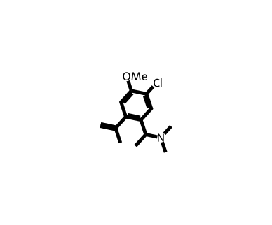 C=C(C)c1cc(OC)c(Cl)cc1C(C)N(C)C